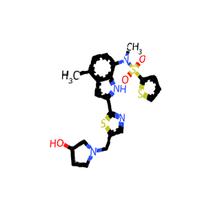 Cc1ccc(N(C)S(=O)(=O)c2cccs2)c2[nH]c(-c3ncc(CN4CCC(O)C4)s3)cc12